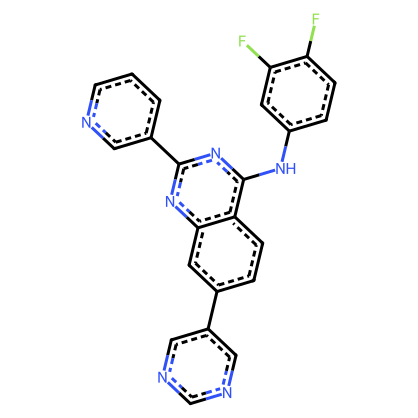 Fc1ccc(Nc2nc(-c3cccnc3)nc3cc(-c4cncnc4)ccc23)cc1F